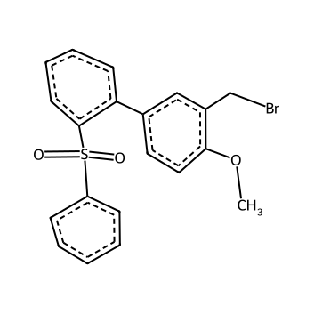 COc1ccc(-c2ccccc2S(=O)(=O)c2ccccc2)cc1CBr